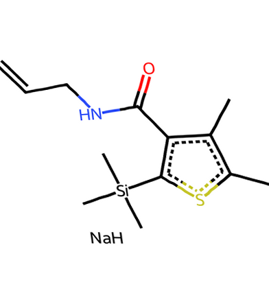 C=CCNC(=O)c1c([Si](C)(C)C)sc(C)c1C.[NaH]